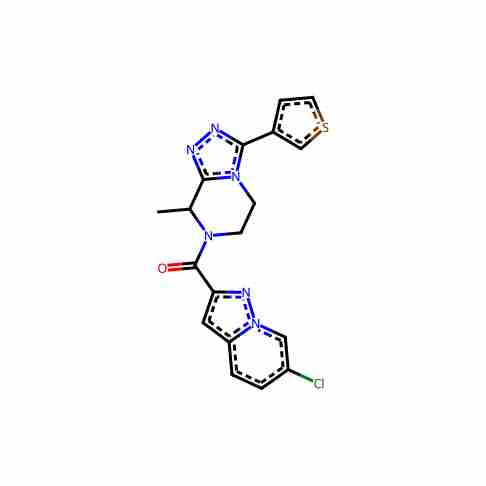 CC1c2nnc(-c3ccsc3)n2CCN1C(=O)c1cc2ccc(Cl)cn2n1